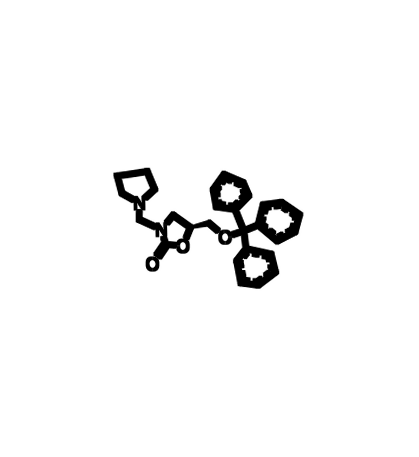 O=C1O[C@H](COC(c2ccccc2)(c2ccccc2)c2ccccc2)CN1CN1CCCC1